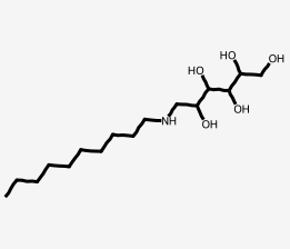 CCCCCCCCCCNCC(O)C(O)C(O)C(O)CO